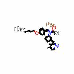 Br.CCCCCCCCCCCCCCOc1ccc(CN(C(=O)CC)c2cccc(CC3(C)CN=CC=C3C)c2)cc1